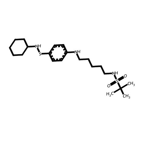 CC(C)(C)S(=O)(=O)NCCCCCNc1ccc(SNC2CCCCC2)cc1